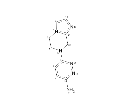 Nc1ccc(N2CCn3ccnc3C2)nn1